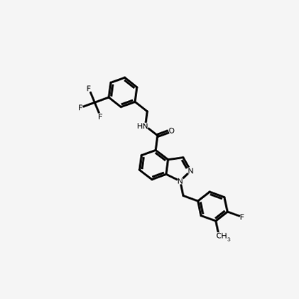 Cc1cc(Cn2ncc3c(C(=O)NCc4cccc(C(F)(F)F)c4)cccc32)ccc1F